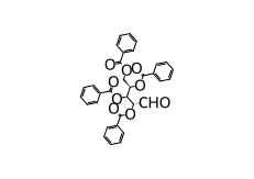 O=C[C@H](OC(=O)c1ccccc1)[C@@H](OC(=O)c1ccccc1)[C@@H](COC(=O)c1ccccc1)OC(=O)c1ccccc1